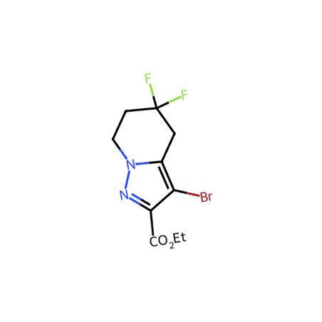 CCOC(=O)c1nn2c(c1Br)CC(F)(F)CC2